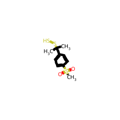 CC(C)(SS)c1ccc(S(C)(=O)=O)cc1